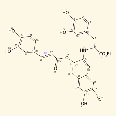 CCOC(=O)C(Cc1ccc(O)c(O)c1)NC(=O)[C@H](Cc1ccc(O)c(O)c1)OC(=O)/C=C/c1ccc(O)c(O)c1